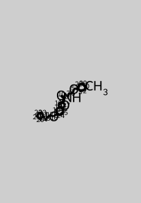 Cc1ccc(OCCNC(=O)c2cc3cc(OCCN4CCCC4)ccc3o2)cc1